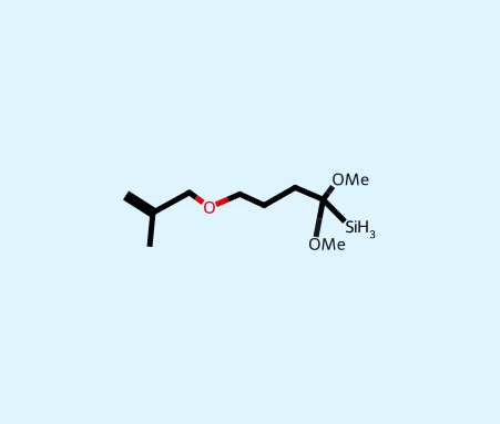 C=C(C)COCCCC([SiH3])(OC)OC